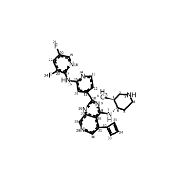 C[C@H]1CNCC[C@@H]1Nc1nc(-c2ccnc(Nc3ncc(F)cc3F)c2)nc2cncc(C3=CC=C3)c12